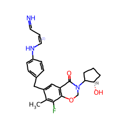 Cc1c(Cc2ccc(N/C=C\C=N)cc2)cc2c(c1F)OCN(C1CCC[C@@H]1O)C2=O